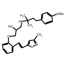 COc1ccc(CCC(C)(C)NCC(O)COc2ccccc2C=Cc2cc(C)no2)cc1